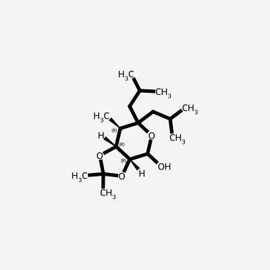 CC(C)CC1(CC(C)C)OC(O)[C@@H]2OC(C)(C)O[C@@H]2[C@H]1C